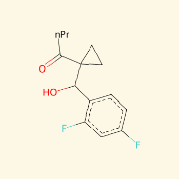 CCCC(=O)C1(C(O)c2ccc(F)cc2F)CC1